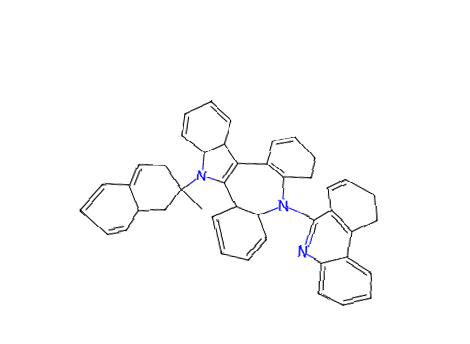 CC1(N2C3=C(C4=C(CCC=C4)N(c4nc5ccccc5c5c4C=CCC5)C4C=CC=CC34)C3C=CC=CC32)CC=C2C=CC=CC2C1